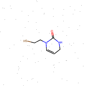 O=C1NCC=CN1CCS